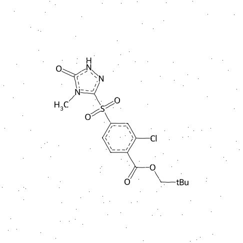 Cn1c(S(=O)(=O)c2ccc(C(=O)OCC(C)(C)C)c(Cl)c2)n[nH]c1=O